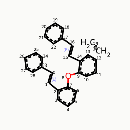 C(=C\c1ccccc1Oc1ccccc1/C=C/c1ccccc1)/c1ccccc1.C=C